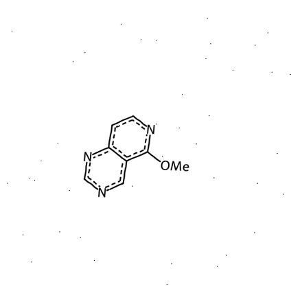 COc1nccc2ncncc12